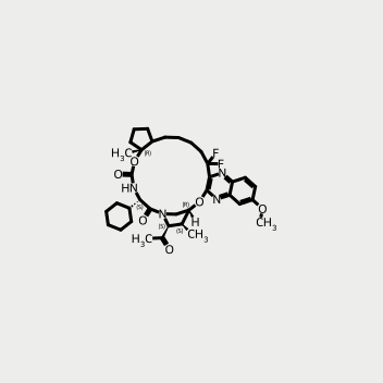 COc1ccc2nc3c(nc2c1)O[C@H]1CN(C(=O)[C@H](C2CCCCC2)NC(=O)O[C@]2(C)CCCC2CCCCC3(F)F)[C@H](C(C)=O)[C@@H]1C